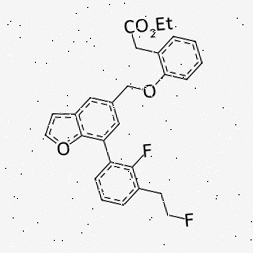 CCOC(=O)Cc1ccccc1OCc1cc(-c2cccc(CCF)c2F)c2occc2c1